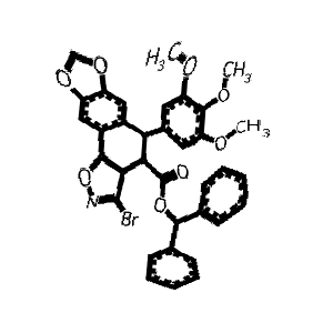 COc1cc(C2c3cc4c(cc3C3ON=C(Br)C3C2C(=O)OC(c2ccccc2)c2ccccc2)OCO4)cc(OC)c1OC